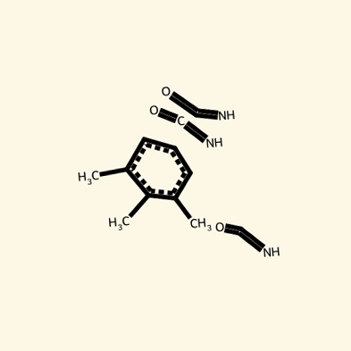 Cc1cccc(C)c1C.N=C=O.N=C=O.N=C=O